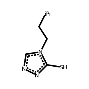 CC(C)CCn1cnnc1S